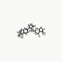 Cc1nc(-c2nnn(C)c2NC(=O)O[C@H](C)C2=CCC=C2Cl)ccc1NS(C)(=O)=O